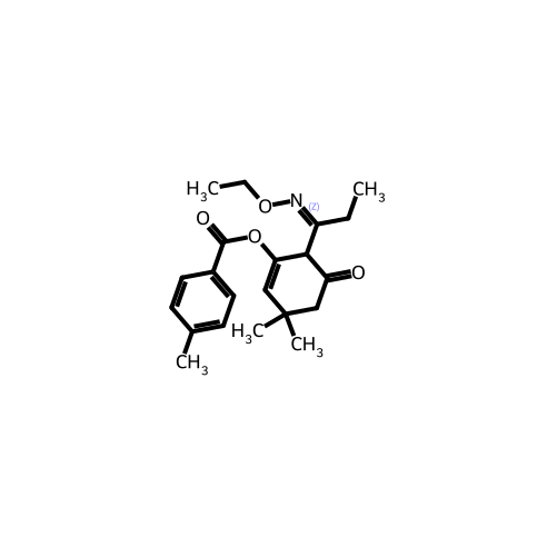 CCO/N=C(/CC)C1C(=O)CC(C)(C)C=C1OC(=O)c1ccc(C)cc1